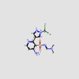 CN(C)C=NS(=O)(=O)c1c(N)ccnc1-c1cnn(C(F)F)c1